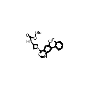 CC(C)(C)OC(=O)NC1CN(c2ncnc3cc(-c4ccccc4F)c(Cl)cc23)C1